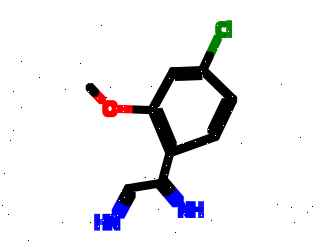 COc1cc(Cl)ccc1C(=N)C=N